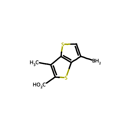 Bc1csc2c(C)c(C(=O)O)sc12